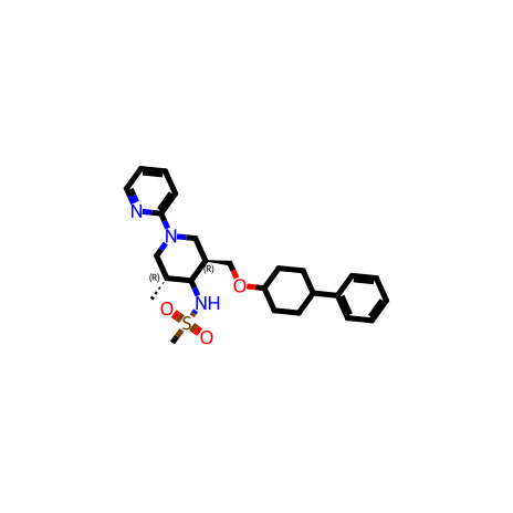 C[C@@H]1CN(c2ccccn2)C[C@@H](COC2CCC(c3ccccc3)CC2)C1NS(C)(=O)=O